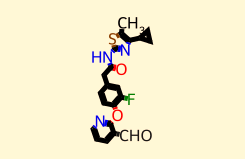 Cc1sc(NC(=O)Cc2ccc(Oc3ncccc3C=O)c(F)c2)nc1C1CC1